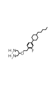 CCCCCC1CCC(c2ccc(CCOC(CN)CN)c(F)c2)CC1